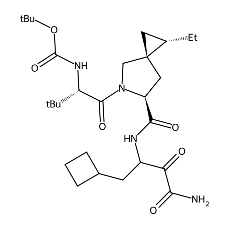 CC[C@H]1C[C@]12C[C@@H](C(=O)NC(CC1CCC1)C(=O)C(N)=O)N(C(=O)[C@@H](NC(=O)OC(C)(C)C)C(C)(C)C)C2